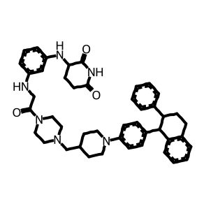 O=C1CCC(Nc2cccc(NCC(=O)N3CCN(CC4CCN(c5ccc(C6c7ccccc7CCC6c6ccccc6)cc5)CC4)CC3)c2)C(=O)N1